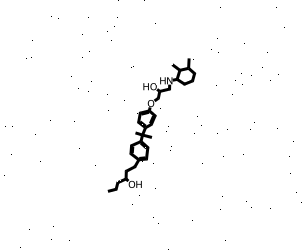 CCCC(O)CCc1ccc(C(C)(C)c2ccc(OCC(O)CNC3CCCC(C)C3C)cc2)cc1